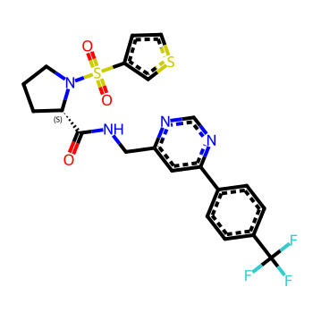 O=C(NCc1cc(-c2ccc(C(F)(F)F)cc2)ncn1)[C@@H]1CCCN1S(=O)(=O)c1ccsc1